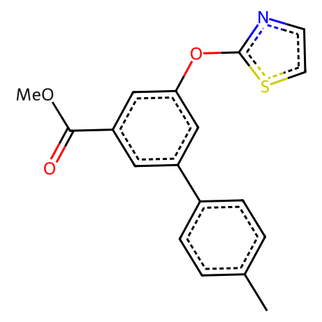 COC(=O)c1cc(Oc2nccs2)cc(-c2ccc(C)cc2)c1